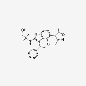 CC1=NOC(C)C1c1ccc2nc(NC(C)(C)CO)n3c2c1OCC3c1ccccc1